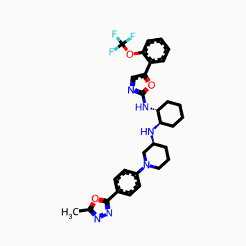 Cc1nnc(-c2ccc(N3CCC[C@H](N[C@@H]4CCCC[C@H]4Nc4ncc(-c5ccccc5OC(F)(F)F)o4)C3)cc2)o1